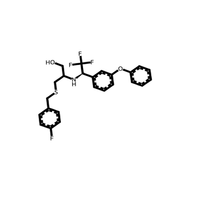 OCC(CSCc1ccc(F)cc1)N[C@H](c1cccc(Oc2ccccc2)c1)C(F)(F)F